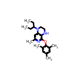 CCC(CC)N1CCNc2c1cc(C)nc2Oc1c(C)cc(C)cc1C